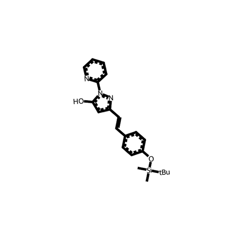 CC(C)(C)[Si](C)(C)Oc1ccc(C=Cc2cc(O)n(-c3ccccn3)n2)cc1